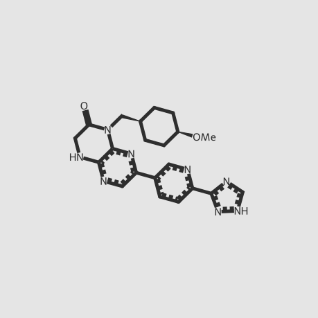 CO[C@H]1CC[C@@H](CN2C(=O)CNc3ncc(-c4ccc(-c5nc[nH]n5)nc4)nc32)CC1